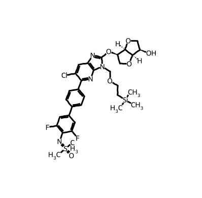 C[Si](C)(C)CCOCn1c(O[C@@H]2CO[C@H]3[C@@H]2OC[C@H]3O)nc2cc(Cl)c(-c3ccc(-c4cc(F)c(N=S(C)(C)=O)c(F)c4)cc3)nc21